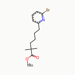 CC(C)(C)OC(=O)C(C)(C)CCCCc1cccc(Br)n1